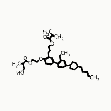 C=C(C)C(=O)OCCCc1cc(-c2ccc(C3CCC(CCCCC)CC3)cc2CC)ccc1OCCOC(=O)C(=C)CO